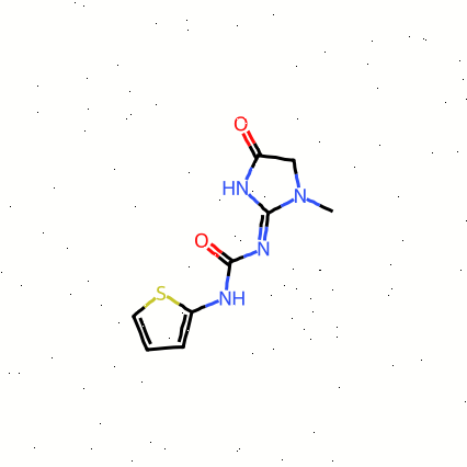 CN1CC(=O)NC1=NC(=O)Nc1cccs1